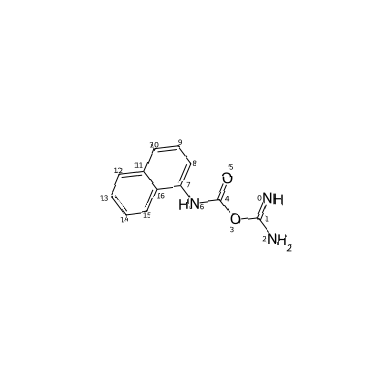 N=C(N)OC(=O)Nc1cccc2ccccc12